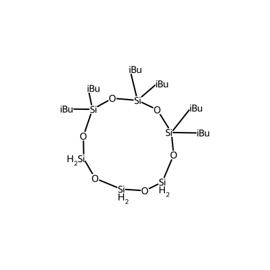 CCC(C)[Si]1(C(C)CC)O[SiH2]O[SiH2]O[SiH2]O[Si](C(C)CC)(C(C)CC)O[Si](C(C)CC)(C(C)CC)O1